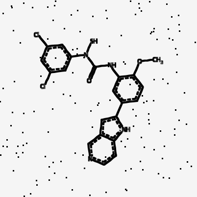 COc1ccc(-c2cc3cnccc3[nH]2)cc1NC(=O)N(S)c1cc(Cl)cc(Cl)c1